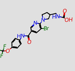 O=C(O)NCC1CCN(c2ncc(C(=O)Nc3ccc(OC(F)(F)F)cc3)cc2Br)C1